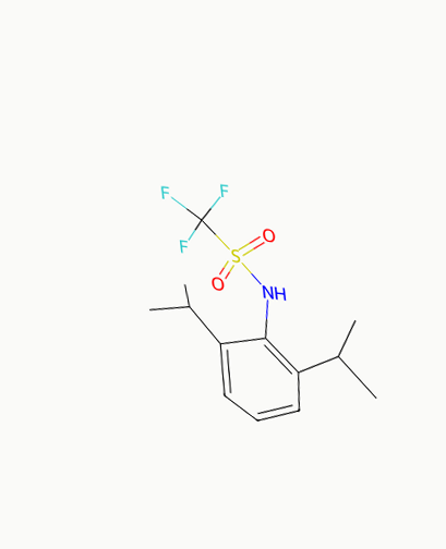 CC(C)c1cccc(C(C)C)c1NS(=O)(=O)C(F)(F)F